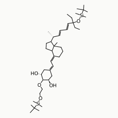 CCC(/C=C/C=C/[C@@H](C)C1CCC2/C(=C/C=C3C[C@@H](O)C(OCCO[Si](C)(C)C(C)(C)C)[C@H](O)C3)CCCC21C)(CC)O[Si](C)(C)C(C)(C)C